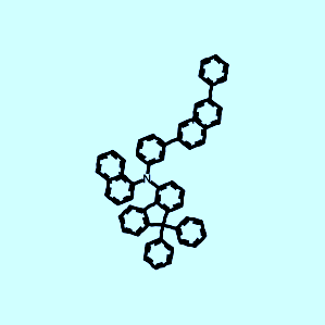 c1ccc(-c2ccc3ccc(-c4cccc(N(c5cccc6c5-c5ccccc5C6(c5ccccc5)c5ccccc5)c5cccc6ccccc56)c4)cc3c2)cc1